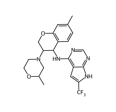 Cc1ccc2c(c1)OCC(N1CCOC(C)C1)C2Nc1ncnc2[nH]c(C(F)(F)F)cc12